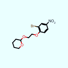 O=[N+]([O-])c1ccc(OCCOC2CCCCO2)c(Br)c1